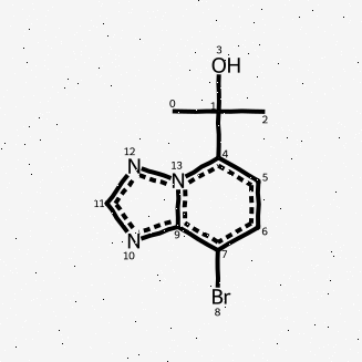 CC(C)(O)c1ccc(Br)c2ncnn12